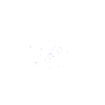 Cc1cc2c(cc1CC(=O)O)nc(Nc1ccc(OC(F)(F)F)cc1)n2C1CC(C)CC(C)(C)C1